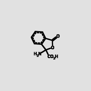 NC1(C(=O)O)OC(=O)c2ccccc21